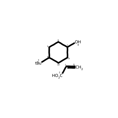 C=CC(=O)O.CC(C)(C)C1CCC(O)CC1